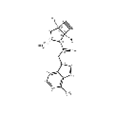 Nc1ncnc2c1ncn2CC(=O)N1[C@@H]2C#C[C@@H]2C[C@H]1C(=O)O